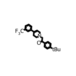 CC(C)(C)c1ccc(C(=O)CN2CC=C(c3cccc(C(F)(F)F)c3)CC2)cc1